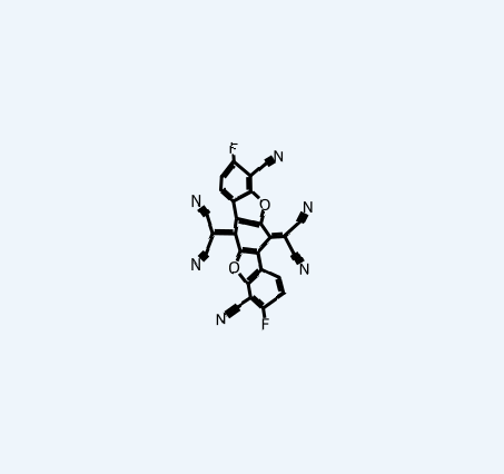 N#CC(C#N)=c1c2oc3c(C#N)c(F)ccc3c2c(=C(C#N)C#N)c2oc3c(C#N)c(F)ccc3c12